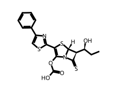 CC[C@H](O)[C@H]1C(=S)N2C(OC(=O)O)=C(c3nc(-c4ccccc4)cs3)S[C@H]12